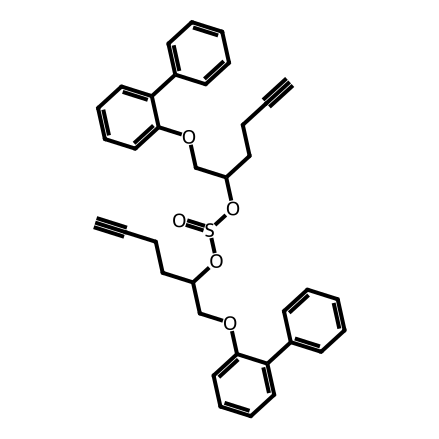 C#CCCC(COc1ccccc1-c1ccccc1)OS(=O)OC(CCC#C)COc1ccccc1-c1ccccc1